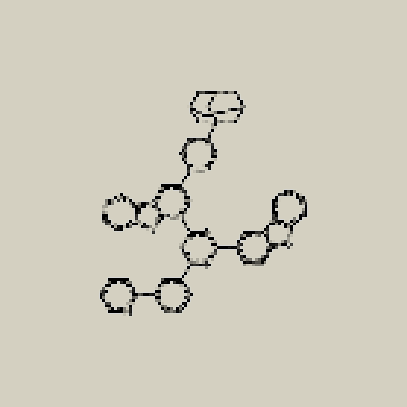 c1ccc(-c2cccc(-c3nc(-c4ccc5sc6ccccc6c5c4)nc(-c4cc(-c5ccc(C67CC8CC(CC(C8)C6)C7)cc5)cc5c4oc4ccccc45)n3)c2)nc1